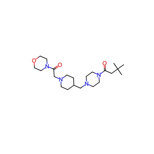 CC(C)(C)CC(=O)N1CCN(CC2CCN(CC(=O)N3CCOCC3)CC2)CC1